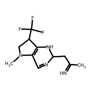 CC(=N)CC1N=CC2=C(N1)C(C(F)(F)F)CN2C